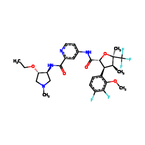 CCO[C@H]1CN(C)C[C@@H]1NC(=O)c1cc(NC(=O)[C@@H]2O[C@@](C)(C(F)(F)F)[C@@H](C)[C@H]2c2ccc(F)c(F)c2OC)ccn1